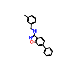 Cc1cccc(CNc2noc3cc(-c4ccccc4)ccc23)c1